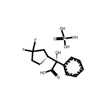 O=C(O)[C@](O)(c1ccccc1)[C@@H]1CCC(F)(F)C1.O=P(O)(O)O